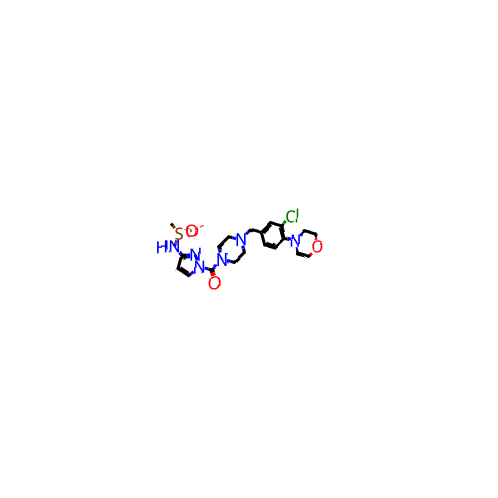 C[S+]([O-])Nc1ccn(C(=O)N2CCN(Cc3ccc(N4CCOCC4)c(Cl)c3)CC2)n1